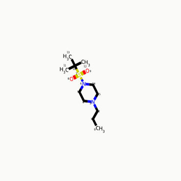 CCCN1CCN(S(=O)(=O)C(C)(C)C)CC1